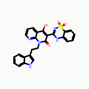 O=c1c(C2=NS(=O)(=O)c3ccccc3N2)c(O)c2cccnc2n1CCc1c[nH]c2ccccc12